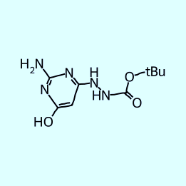 CC(C)(C)OC(=O)NNc1cc(O)nc(N)n1